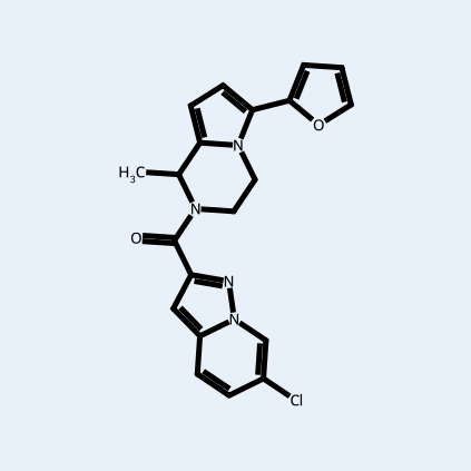 CC1c2ccc(-c3ccco3)n2CCN1C(=O)c1cc2ccc(Cl)cn2n1